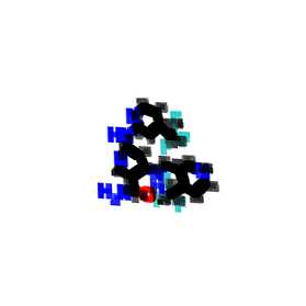 NC(=O)c1cnc(Nc2cc(C(F)(F)F)ccn2)cc1NCc1cnccc1C(F)(F)F